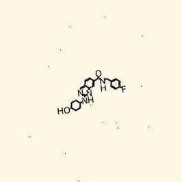 O=C(NCc1ccc(F)cc1)c1ccc2cnc(NC3CCC(O)CC3)nc2c1